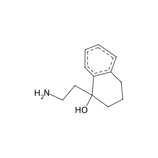 NCCC1(O)CCCc2ccccc21